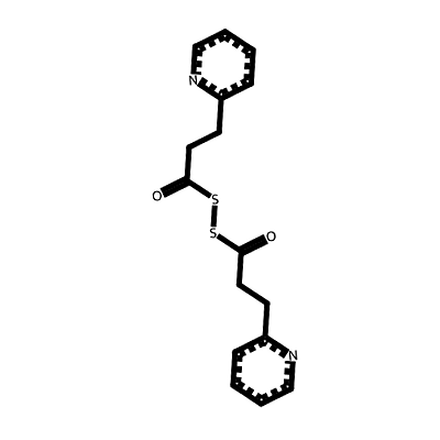 O=C(CCc1ccccn1)SSC(=O)CCc1ccccn1